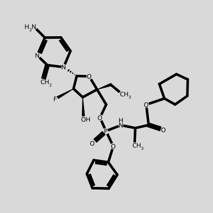 C=C1N=C(N)C=CN1[C@@H]1O[C@](CC)(COP(=O)(NC(C)C(=O)OC2CCCCC2)Oc2ccccc2)[C@@H](O)[C@H]1F